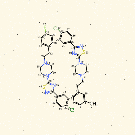 Cc1cccc(CCN2CCN(c3nc(-c4ccc(Cl)cc4)ns3)CC2)c1.Fc1ccc(CCN2CCN(c3nc(-c4ccc(Cl)cc4)ns3)CC2)cc1